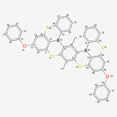 Cc1c2c(c(C)c3c1Sc1cc(Oc4ccccc4)cc4c1B3c1ccccc1S4)B1c3ccccc3Sc3cc(Oc4ccccc4)cc(c31)S2